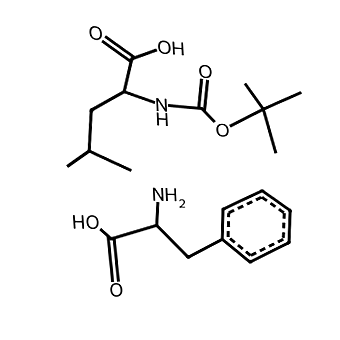 CC(C)CC(NC(=O)OC(C)(C)C)C(=O)O.NC(Cc1ccccc1)C(=O)O